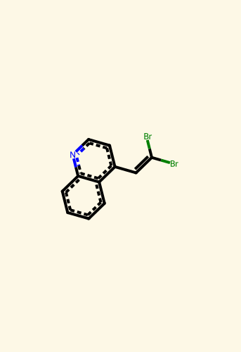 BrC(Br)=Cc1ccnc2ccccc12